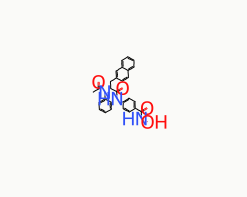 CC(=O)N(c1ccccc1)C(Cc1ccc2ccccc2c1)C(=O)Nc1ccc(C(=O)NO)cc1